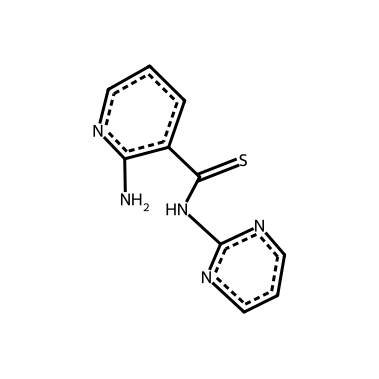 Nc1ncccc1C(=S)Nc1ncccn1